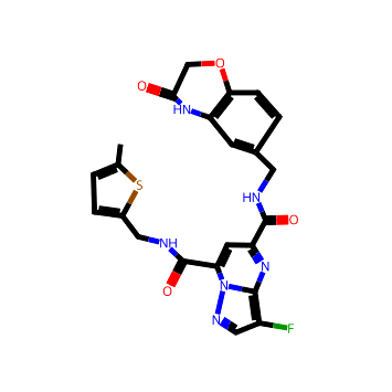 Cc1ccc(CNC(=O)c2cc(C(=O)NCc3ccc4c(c3)NC(=O)CO4)nc3c(F)cnn23)s1